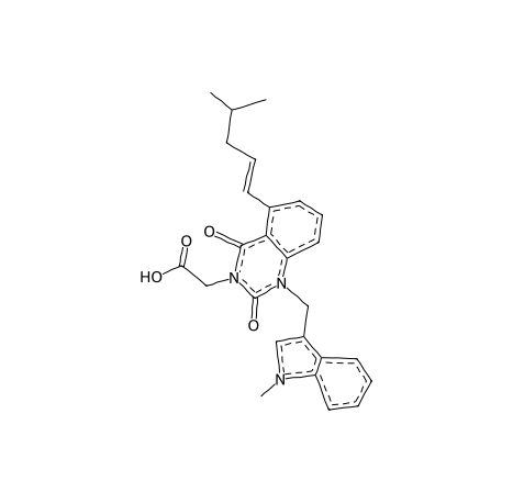 CC(C)CC=Cc1cccc2c1c(=O)n(CC(=O)O)c(=O)n2Cc1cn(C)c2ccccc12